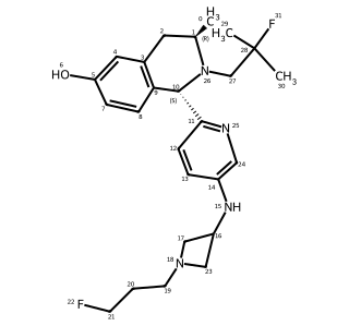 C[C@@H]1Cc2cc(O)ccc2[C@@H](c2ccc(NC3CN(CCCF)C3)cn2)N1CC(C)(C)F